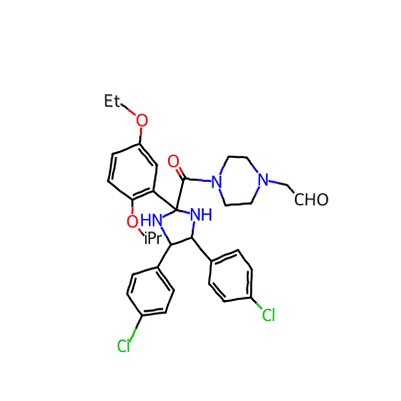 CCOc1ccc(OC(C)C)c(C2(C(=O)N3CCN(CC=O)CC3)NC(c3ccc(Cl)cc3)C(c3ccc(Cl)cc3)N2)c1